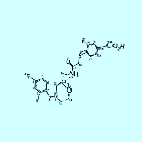 Cc1cc(F)ccc1CN1CCO[C@@H](CNC(=O)CSc2ccc(C(=O)O)cc2F)C1